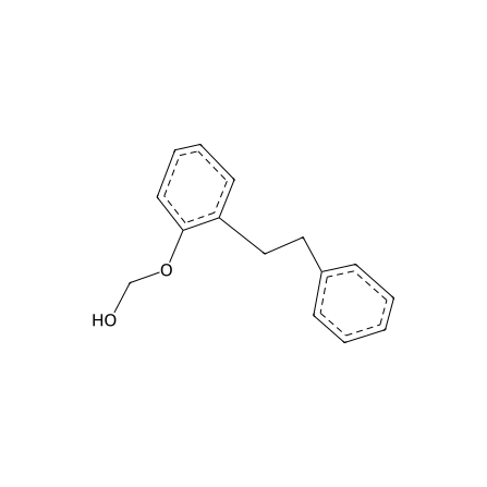 OCOc1ccccc1CCc1ccccc1